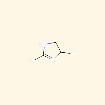 CCCC1=NC(CCC)CN1